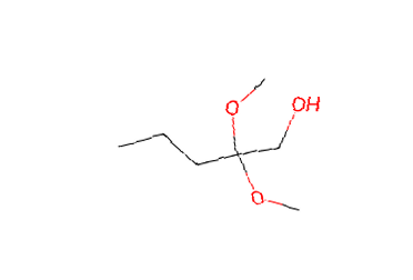 CCCC(CO)(OC)OC